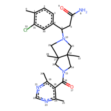 Cc1ccc(C(CC(N)=O)N2CC3(C)CN(C(=O)c4c(C)ncnc4C)CC3(C)C2)cc1Cl